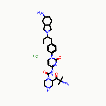 CCC(Cc1ccc(-n2ccc(NC(=O)N3CCNCC3C(=O)C(C)(C)N)nc2=O)cc1)N1CC2CCC(N)CC2C1.Cl